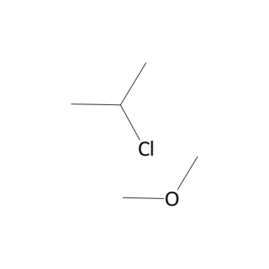 CC(C)Cl.COC